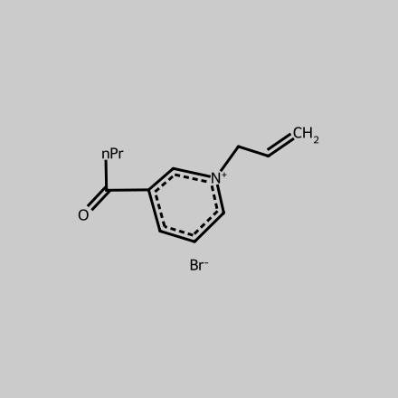 C=CC[n+]1cccc(C(=O)CCC)c1.[Br-]